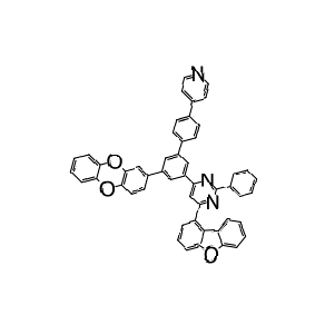 c1ccc(-c2nc(-c3cc(-c4ccc(-c5ccncc5)cc4)cc(-c4ccc5c(c4)Oc4ccccc4O5)c3)cc(-c3cccc4oc5ccccc5c34)n2)cc1